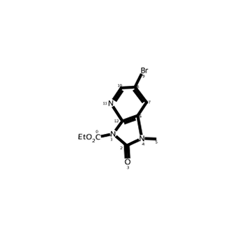 CCOC(=O)n1c(=O)n(C)c2cc(Br)cnc21